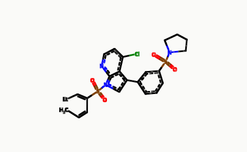 C/C=C\C(=C/CC)S(=O)(=O)n1cc(-c2cccc(S(=O)(=O)N3CCCC3)c2)c2c(Cl)ccnc21